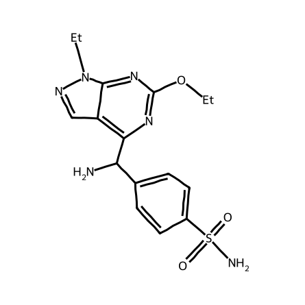 CCOc1nc(C(N)c2ccc(S(N)(=O)=O)cc2)c2cnn(CC)c2n1